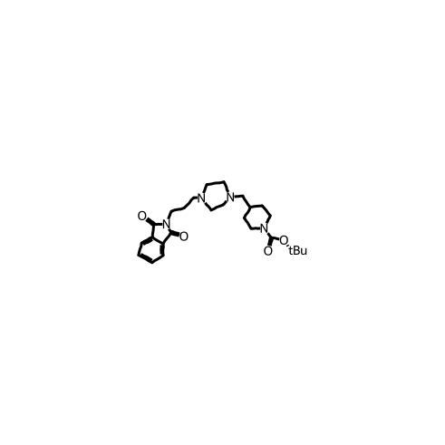 CC(C)(C)OC(=O)N1CCC(CN2CCN(CCCN3C(=O)c4ccccc4C3=O)CC2)CC1